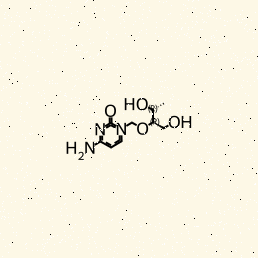 C[C@@H](O)[C@@H](CO)OCn1ccc(N)nc1=O